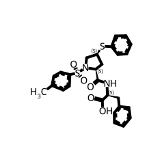 Cc1ccc(S(=O)(=O)N2C[C@@H](Sc3ccccc3)C[C@H]2C(=O)N[C@@H](Cc2ccccc2)C(=O)O)cc1